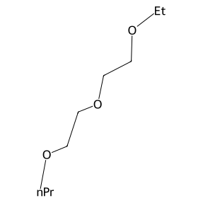 [CH2]CCOCCOCCOCC